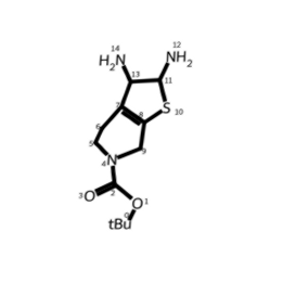 CC(C)(C)OC(=O)N1CCC2=C(C1)SC(N)C2N